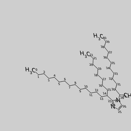 CCCCCCCCCCCCCCC(CCCCCCCC)c1nccn1C(C)CCCCCCCCCCC